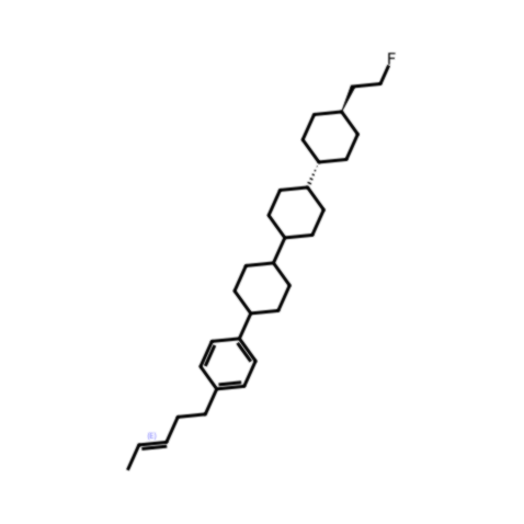 C/C=C/CCc1ccc(C2CCC(C3CCC([C@H]4CC[C@H](CCF)CC4)CC3)CC2)cc1